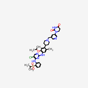 Cc1cc(Nc2ncc(Cl)c(Nc3ccccc3S(=O)(=O)C(C)C)n2)c(OC(C)C)cc1C1CCN(Cc2cncc(N3CCC(=O)NC3=O)c2)CC1